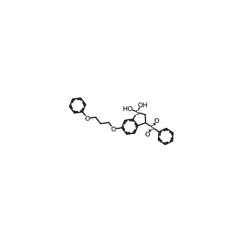 O=S(=O)(c1ccccc1)C1CS(O)(O)c2cc(OCCCOc3ccccc3)ccc21